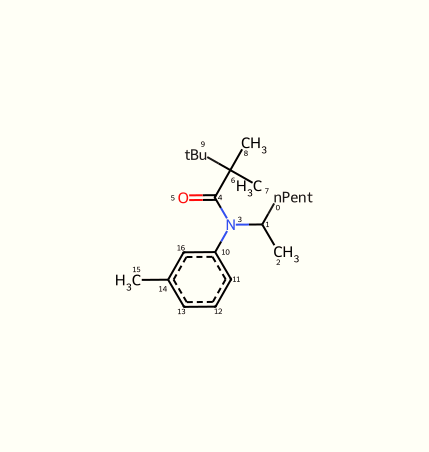 CCCCCC(C)N(C(=O)C(C)(C)C(C)(C)C)c1cccc(C)c1